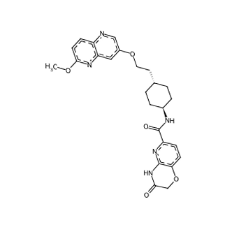 COc1ccc2ncc(OCC[C@H]3CC[C@H](NC(=O)c4ccc5c(n4)NC(=O)CO5)CC3)cc2n1